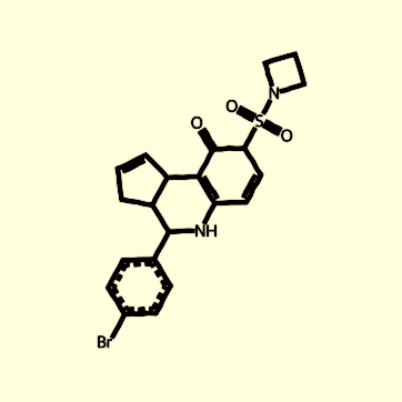 O=C1C2=C(C=CC1S(=O)(=O)N1CCC1)NC(c1ccc(Br)cc1)C1CC=CC21